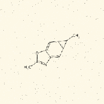 Cc1nc2c(o1)=CC1C(C)C1C=2